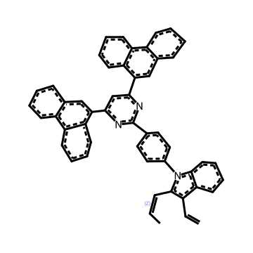 C=Cc1c(/C=C\C)n(-c2ccc(-c3nc(-c4cc5ccccc5c5ccccc45)cc(-c4cc5ccccc5c5ccccc45)n3)cc2)c2ccccc12